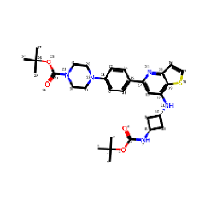 CC(C)(C)OC(=O)N[C@H]1C[C@H](Nc2cc(-c3ccc(N4CCN(C(=O)OC(C)(C)C)CC4)cc3)nc3ccsc23)C1